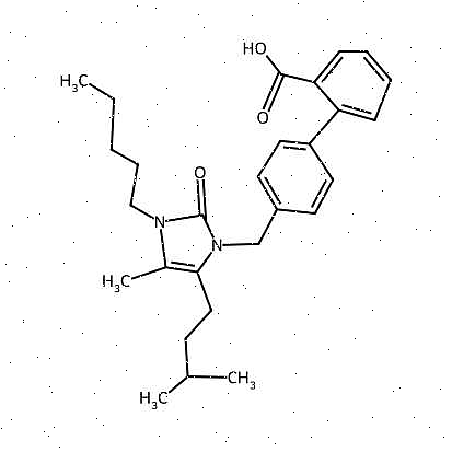 CCCCCn1c(C)c(CCC(C)C)n(Cc2ccc(-c3ccccc3C(=O)O)cc2)c1=O